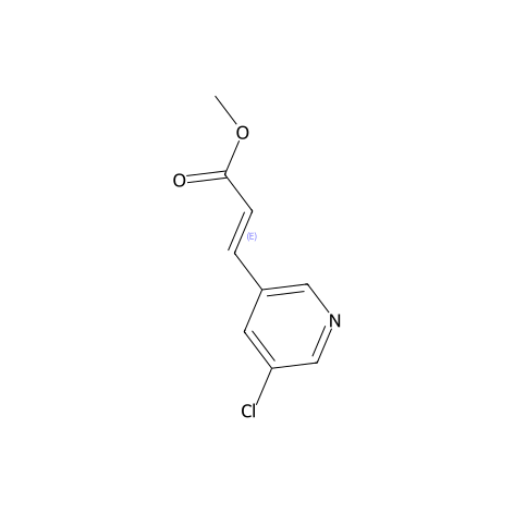 COC(=O)/C=C/c1cncc(Cl)c1